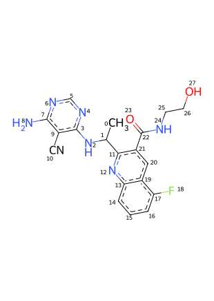 CC(Nc1ncnc(N)c1C#N)c1nc2cccc(F)c2cc1C(=O)NCCO